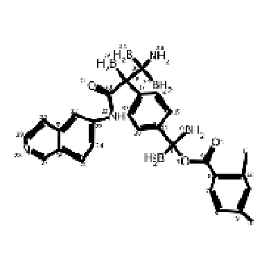 BC(B)(OC(=O)c1ccc(C)cc1C)c1ccc(C(B)(C(=O)Nc2ccc3cnccc3c2)C(B)(B)N)cc1